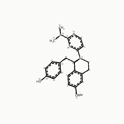 COc1ccc2c(c1)CCN(c1ccnc(N(C)C)n1)C2Cc1ccc(O)cc1